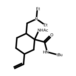 C=CC1CCC(CN(CC)CC)C(NC(C)=O)(C(=O)NC(C)(C)C)C1